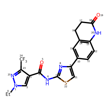 CCn1cc(C(=O)Nc2nc(-c3ccc4c(c3)CCC(=O)N4)cs2)c(C(F)(F)F)n1